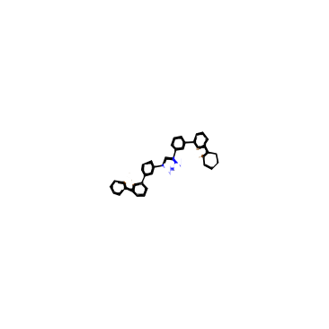 C1=Cc2sc3c(-c4cccc(-c5cc(-c6cccc(-c7cccc8c7sc7ccccc78)c6)ncn5)c4)cccc3c2CC1